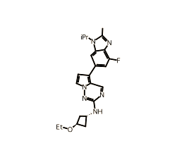 CCO[C@H]1C[C@H](Nc2ncc3c(-c4cc(F)c5nc(C)n(C(C)C)c5c4)ccn3n2)C1